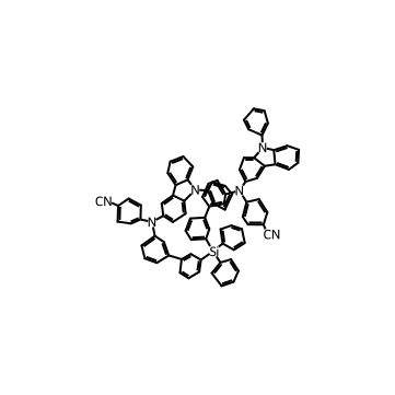 [C-]#[N+]c1ccc(N(c2cccc(-c3cccc([Si](c4ccccc4)(c4ccccc4)c4cccc(-c5cccc(N(c6ccc(C#N)cc6)c6ccc7c(c6)c6ccccc6n7-c6ccccc6)c5)c4)c3)c2)c2ccc3c(c2)c2ccccc2n3-c2ccccc2)cc1